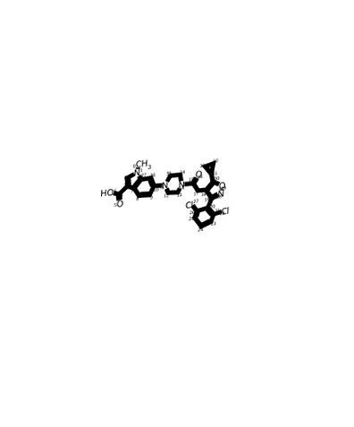 Cn1cc(C(=O)O)c2ccc(N3CCN(C(=O)Cc4c(-c5c(Cl)cccc5Cl)noc4C4CC4)CC3)cc21